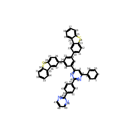 c1ccc(-c2cc(-c3cc(-c4ccc5sc6ccccc6c5c4)cc(-c4ccc5sc6ccccc6c5c4)c3)nc(-c3ccc(-c4ncccn4)cc3)n2)cc1